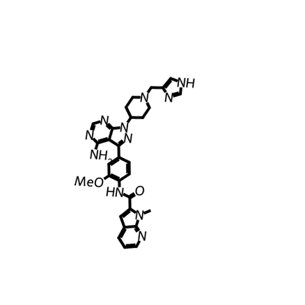 COc1cc(-c2nn(C3CCN(Cc4c[nH]cn4)CC3)c3ncnc(N)c23)ccc1NC(=O)c1cc2cccnc2n1C